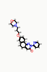 O=c1cc2c(nn1-c1ccccn1)-c1ccc(OCCCN3CCOCC3)cc1CC2